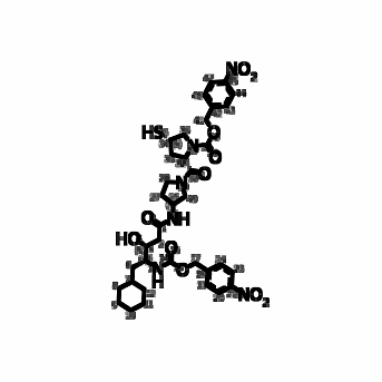 O=C(C[C@H](O)[C@H](CC1CCCCC1)NC(=O)OCc1ccc([N+](=O)[O-])cc1)N[C@H]1CCN(C(=O)[C@@H]2C[C@H](S)CN2C(=O)OCc2ccc([N+](=O)[O-])cc2)C1